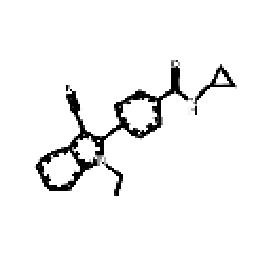 CCn1c(-c2ccc(C(=O)NC3CC3)cc2)c(C#N)c2ccccc21